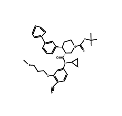 COCCCOc1cc(N(C(=O)[C@H]2CN(C(=O)OC(C)(C)C)CC[C@@H]2c2cccc(-c3ccccc3)c2)C2CC2)ccc1C#N